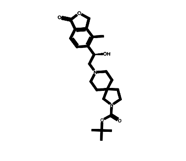 Cc1c([C@@H](O)CN2CCC3(CC2)CCN(C(=O)OC(C)(C)C)C3)ccc2c1COC2=O